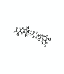 Cc1ccc2c(C(=O)N[C@H]3CC[C@H](CCN4[C@@H]5CC[C@H]4c4ccc(C(=O)C(C)C)cc45)CC3)ccc(Cl)c2n1